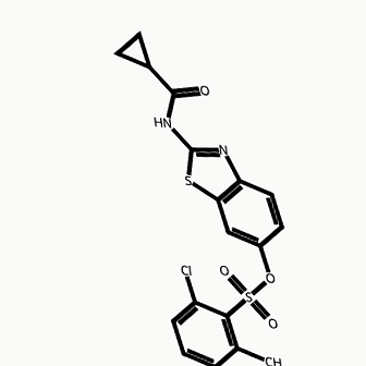 Cc1cccc(Cl)c1S(=O)(=O)Oc1ccc2nc(NC(=O)C3CC3)sc2c1